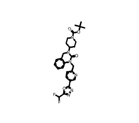 CC(C)(C)OC(=O)N1CCC(N2Cc3ccccc3N(Cc3ccc(-c4nnc(C(F)F)o4)cn3)C2=O)CC1